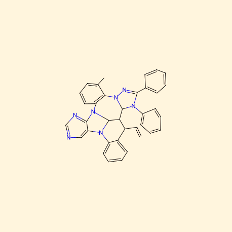 C=CC1c2ccccc2N2c3cncnc3N(C)C2C1C1N(c2ccccc2C)N=C(c2ccccc2)N1c1ccccc1